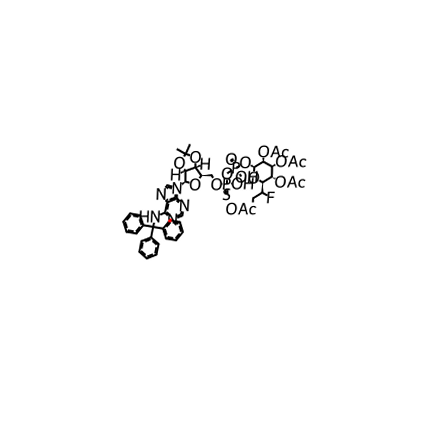 CC(=O)OCC(F)[C@H]1O[C@@H](OP(=O)(O)OP(O)(=S)OC[C@H]2O[C@@H](n3cnc4c(NC(c5ccccc5)(c5ccccc5)c5ccccc5)ncnc43)[C@@H]3OC(C)(C)O[C@@H]32)[C@@H](OC(C)=O)[C@@H](OC(C)=O)[C@@H]1OC(C)=O